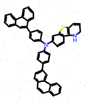 C1=Cc2sc3cc(N(c4ccc(-c5ccc6ccc7ccccc7c6c5)cc4)c4ccc(-c5cc6ccccc6c6ccccc56)cc4)ccc3c2NC1